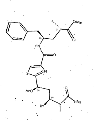 CCCCC(=O)N(C)[C@H](C[C@@H](OC(C)=O)c1nc(C(=O)N[C@@H](Cc2ccccc2)C[C@H](C)C(=O)OC)cs1)C(C)C